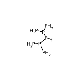 PP(P)P(I)P(P)P